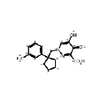 O=C(O)c1nn(CC2(c3cccc(C(F)(F)F)c3)CCCC2)cc(O)c1=O